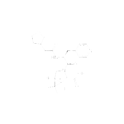 CC1(C)[C@@H]2[C@@H](C(=O)O)N(C(=O)[C@H](Cc3ccncc3)NC(=O)CC3CCOC3)C[C@@H]21